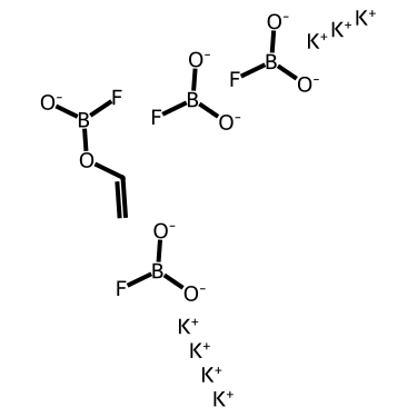 C=COB([O-])F.[K+].[K+].[K+].[K+].[K+].[K+].[K+].[O-]B([O-])F.[O-]B([O-])F.[O-]B([O-])F